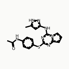 CC(=O)Nc1ccc(Sc2nc(Nc3cc(C)[nH]n3)n3cccc3n2)cc1